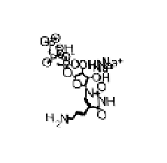 NC/C=C/c1cn([C@@H]2O[C@H](OP(=O)([O-])CP(=O)([O-])CP(=O)([O-])O)[C@@H](O)[C@H]2O)c(=O)[nH]c1=O.[Na+].[Na+].[Na+]